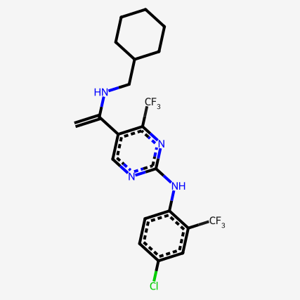 C=C(NCC1CCCCC1)c1cnc(Nc2ccc(Cl)cc2C(F)(F)F)nc1C(F)(F)F